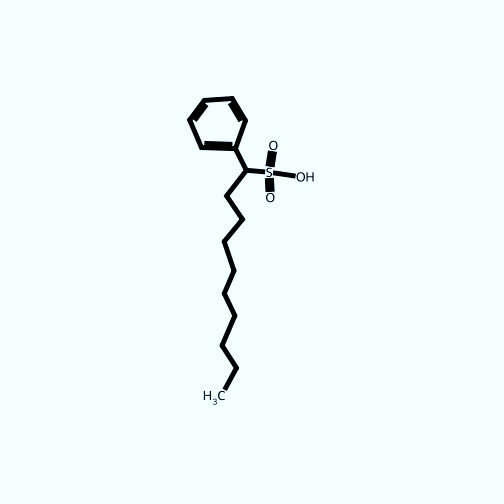 CCCCCCCCCC(c1ccccc1)S(=O)(=O)O